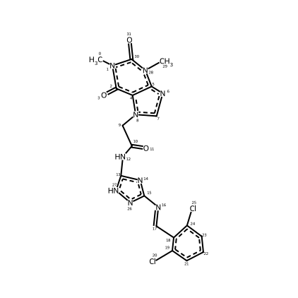 Cn1c(=O)c2c(ncn2CC(=O)Nc2nc(N=Cc3c(Cl)cccc3Cl)n[nH]2)n(C)c1=O